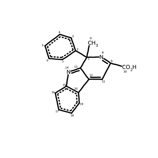 CC1(c2ccccc2)N=C(C(=O)O)C=C2C1=Nc1ccccc12